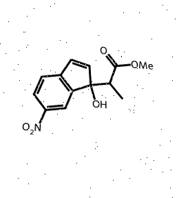 COC(=O)C(C)C1(O)C=Cc2ccc([N+](=O)[O-])cc21